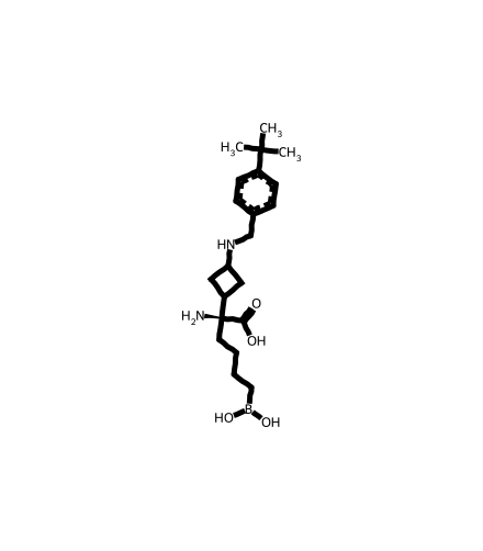 CC(C)(C)c1ccc(CNC2CC([C@@](N)(CCCCB(O)O)C(=O)O)C2)cc1